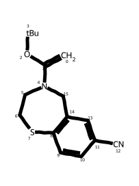 C=C(OC(C)(C)C)N1CCSc2ccc(C#N)cc2C1